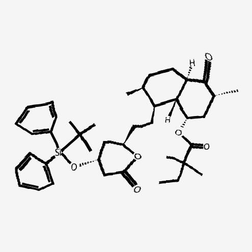 CCC(C)(C)C(=O)O[C@H]1C[C@@H](C)C(=O)[C@@H]2CC[C@H](C)[C@H](CC[C@@H]3C[C@@H](O[Si](c4ccccc4)(c4ccccc4)C(C)(C)C)CC(=O)O3)[C@@H]12